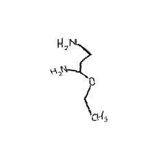 CCOC(N)CN